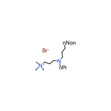 CCCCCCCCCCCCN(CCC)CCC[N+](C)(C)C.[Br-]